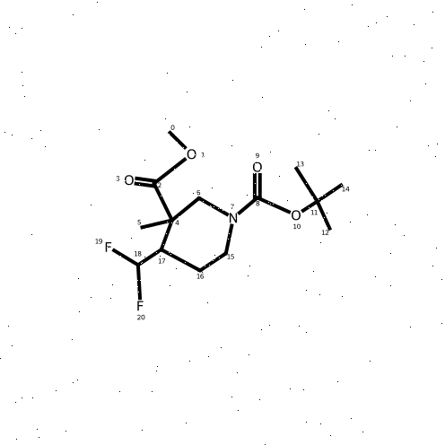 COC(=O)C1(C)CN(C(=O)OC(C)(C)C)CCC1C(F)F